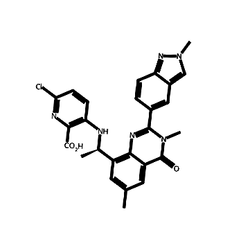 Cc1cc([C@@H](C)Nc2ccc(Cl)nc2C(=O)O)c2nc(-c3ccc4nn(C)cc4c3)n(C)c(=O)c2c1